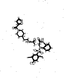 Cc1cc(S(=O)(=O)N2c3ccccc3NC(=O)[C@H]2CC(=O)NCCC2CCN(C(=O)c3ccno3)CC2)c(C)cc1Cl